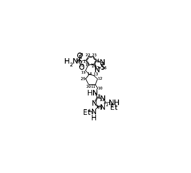 CCNc1nc(NCC)nc(NCC2CCC(Cc3c(S(N)(=O)=O)ccc4nsnc34)CC2)n1